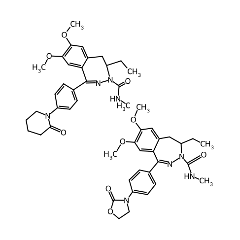 CCC1Cc2cc(OC)c(OC)cc2C(c2ccc(N3CCCCC3=O)cc2)=NN1C(=O)NC.CCC1Cc2cc(OC)c(OC)cc2C(c2ccc(N3CCOC3=O)cc2)=NN1C(=O)NC